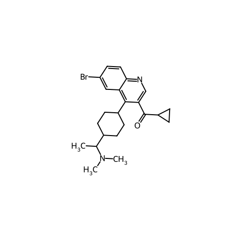 CC(C1CCC(c2c(C(=O)C3CC3)cnc3ccc(Br)cc23)CC1)N(C)C